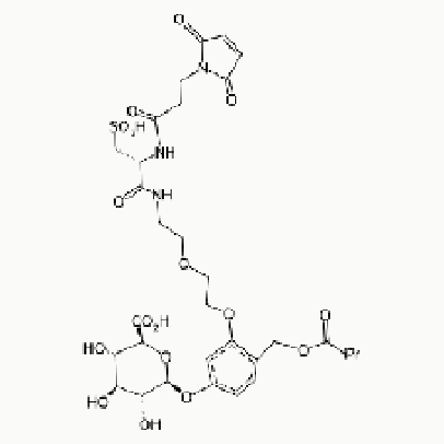 CC(C)C(=O)OCc1ccc(O[C@@H]2O[C@H](C(=O)O)[C@@H](O)[C@H](O)[C@H]2O)cc1OCCOCCNC(=O)[C@H](CS(=O)(=O)O)NC(=O)CCN1C(=O)C=CC1=O